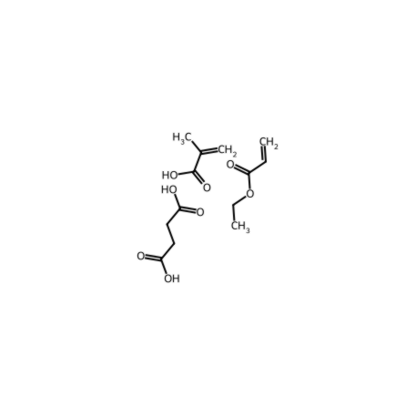 C=C(C)C(=O)O.C=CC(=O)OCC.O=C(O)CCC(=O)O